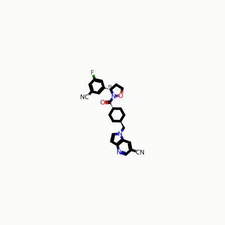 N#Cc1cc(F)cc([C@@H]2CCON2C(=O)[C@H]2CC[C@H](Cn3ccc4ncc(C#N)cc43)CC2)c1